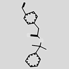 C=Cc1ccc(CC(=O)OC(C)(C)c2ccccc2)cc1